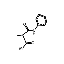 CC(C)C(=O)C(C)C(=O)Nc1ccccc1